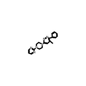 Cc1cc(N2CCN(c3ncccn3)CC2)nnc1-c1ccccc1